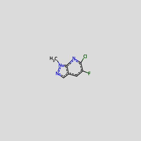 Cn1ncc2cc(F)c(Cl)nc21